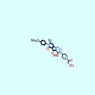 CCc1cc2c(c(OC(C)C)c(C(=O)NC3CCN(C(=O)CO)CC3)n2C)c(=O)n1-c1ccc(OC)cc1